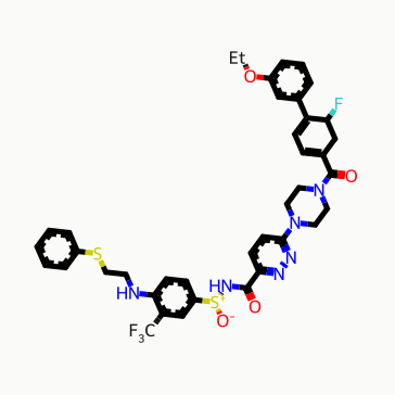 CCOc1cccc(C2=CC=C(C(=O)N3CCN(c4ccc(C(=O)N[S+]([O-])c5ccc(NCCSc6ccccc6)c(C(F)(F)F)c5)nn4)CC3)CC2F)c1